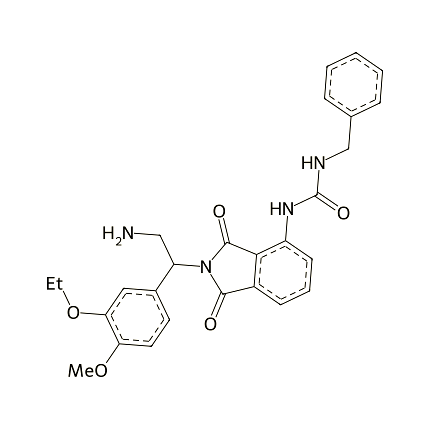 CCOc1cc(C(CN)N2C(=O)c3cccc(NC(=O)NCc4ccccc4)c3C2=O)ccc1OC